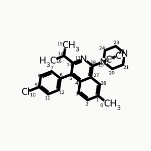 Cc1ccc2c(-c3ccc(Cl)cc3)c(C(C)C)nc([N+]34CCN(CC3)CC4)c2c1